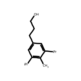 Cc1c(C(C)C)cc(CCCO)cc1C(C)C